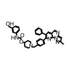 Cc1cc2ncc3cc(-c4ccccc4)c(-c4ccc(CN5CCC(OC(=O)Nc6cccc(CO)c6)CC5)cc4)nc3n2n1